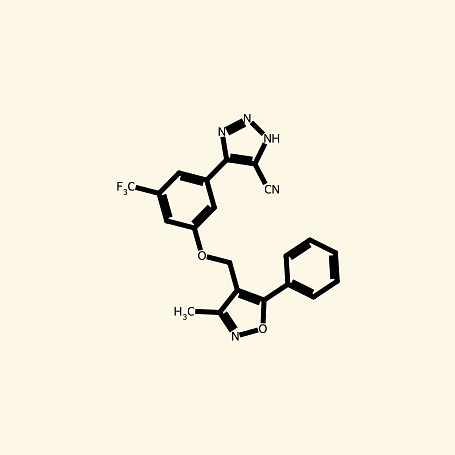 Cc1noc(-c2ccccc2)c1COc1cc(-c2nn[nH]c2C#N)cc(C(F)(F)F)c1